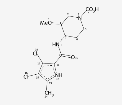 CO[C@@H]1CN(C(=O)O)CC[C@@H]1NC(=O)c1[nH]c(C)c(Cl)c1Cl